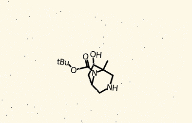 CC(C)(C)OC(=O)N1C2CNCC1(C)C(O)C2